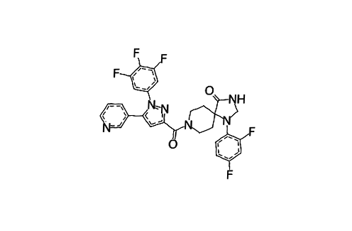 O=C(c1cc(-c2cccnc2)n(-c2cc(F)c(F)c(F)c2)n1)N1CCC2(CC1)C(=O)NCN2c1ccc(F)cc1F